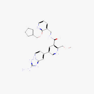 COCc1ncc(-c2ccn3nc(N)nc3c2)cc1C(=O)NCc1cccnc1OCC1CCCC1